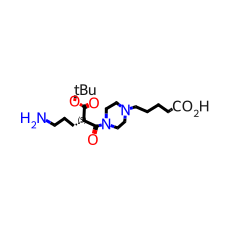 CC(C)(C)OC(=O)[C@@H](CCCN)C(=O)N1CCN(CCCCC(=O)O)CC1